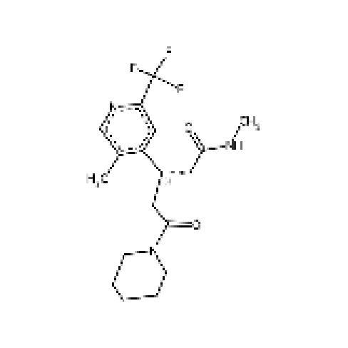 CNC(=O)C[C@H](CC(=O)N1CCCCC1)c1cc(C(F)(F)F)ncc1C